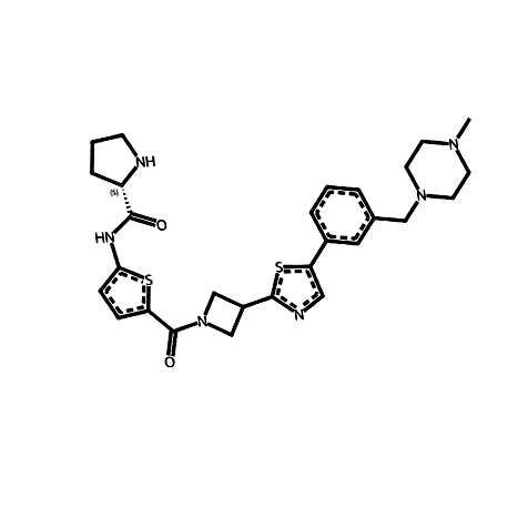 CN1CCN(Cc2cccc(-c3cnc(C4CN(C(=O)c5ccc(NC(=O)[C@@H]6CCCN6)s5)C4)s3)c2)CC1